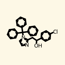 OC(Cc1nccn1C(c1ccccc1)(c1ccccc1)c1ccccc1)c1ccc(Cl)cc1